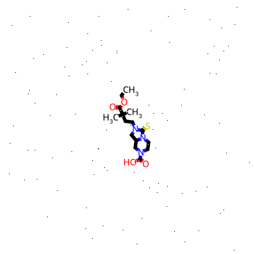 CCOC(=O)C(C)(C)CCN1CC2CN(C(=O)O)CCN2C1=S